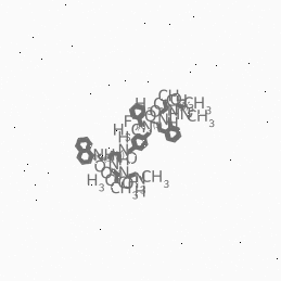 CNCC(=O)N[C@H](C(=O)N1C[C@@H](NC(=O)c2ccc(CN(C(=O)[C@@H]3Cc4ccccc4CN3C(=O)C(NC(=O)[C@H](C)NC)C(C)(C)C)[C@H](C)c3ccccc3F)cc2)C[C@H]1C(=O)N[C@@H]1CCCc2ccccc21)C(C)(C)C